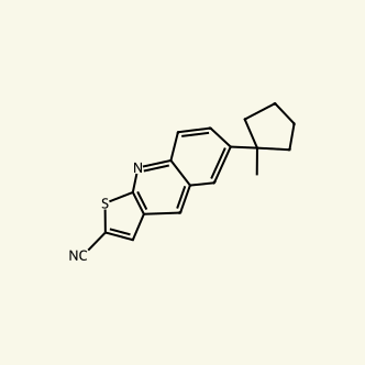 CC1(c2ccc3nc4sc(C#N)cc4cc3c2)CCCC1